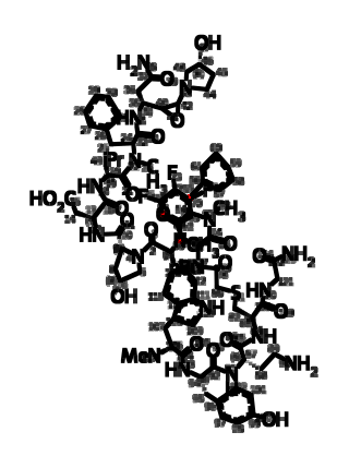 CCCC[C@@H](C(=O)N1C[C@H](O)C[C@@H]1C(=O)N[C@@H](CC(=O)O)C(=O)N[C@H](C(=O)N(C)C(Cc1ccccc1)C(=O)N[C@@H](CC(N)=O)C1OC1N1CC[C@@H](O)C1)C(C)C)N(C)C(=O)[C@H](Cc1ccccc1)N(C)C(=O)[C@H](Cc1cc(F)c(F)c(F)c1)NC(=O)CSC[C@H](NC(=O)[C@H](CCN)NC(=O)[C@H](Cc1ccc(O)cc1)NC(=O)[C@H](Cc1c[nH]c2ccccc12)NC)C(=O)NCC(N)=O